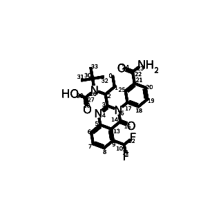 CCC(c1nc2cccc(C(F)F)c2c(=O)n1-c1cccc(C(N)=O)c1)N(C(=O)O)C(C)(C)C